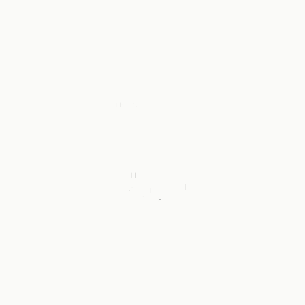 C=CC(=O)O.CC[C](C)([K])CCCS(=O)(=O)O